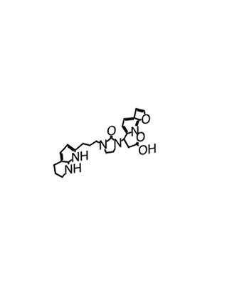 O=C(O)CC(c1ccc2ccoc2n1)N1CCN(CCCC2=CC=C3CCCNC3N2)C1=O